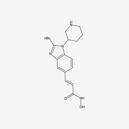 CCCCc1nc2cc(/C=C/C(=O)NO)ccc2n1C1CCCNC1